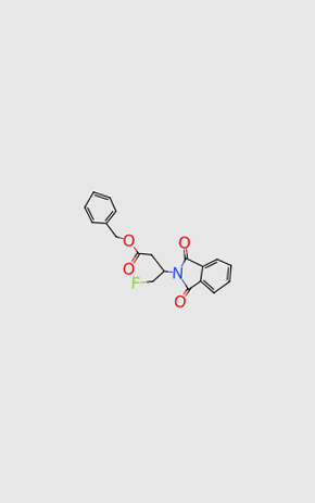 O=C(CC(CF)N1C(=O)c2ccccc2C1=O)OCc1ccccc1